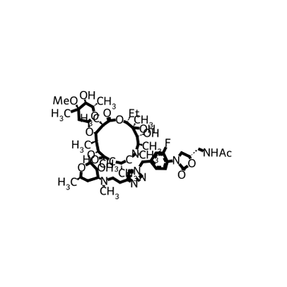 CC[C@H]1OC(=O)[C@H](C)[C@@H](O[C@H]2C[C@@](C)(OC)[C@@H](O)[C@H](C)O2)[C@H](C)[C@@H](O[C@@H]2O[C@H](C)C[C@H](N(C)CCc3cn(Cc4ccc(N5C[C@H](CNC(C)=O)OC5=O)c(F)c4)nn3)[C@H]2O)[C@](C)(O)C[C@@H](C)CN(C)[C@H](C)[C@@H](O)[C@]1(C)O